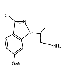 COc1ccc2c(Cl)nn(C(C)CN)c2c1